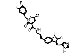 O=C1Nc2cc(C=CCNC(=O)c3cc(Cl)nn(Cc4ccc(F)c(F)c4)c3=O)ccc2C1=Cc1cnc[nH]1